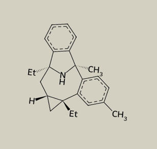 CC[C@@]12C[C@H]3C[C@@]3(CC)c3cc(C)ccc3[C@@](C)(N1)c1ccccc12